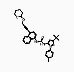 Cc1ccc(-n2nc(C(C)(C)C)cc2NC(=O)Nc2ccc(C#CCOC3CCCCO3)c3ccccc23)cc1